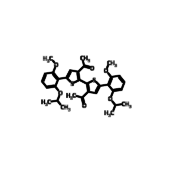 COc1cccc(OC(C)C)c1-c1cc(C(C)=O)c(-c2sc(-c3c(OC)cccc3OC(C)C)cc2C(C)=O)s1